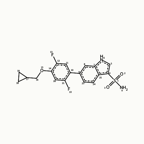 NS(=O)(=O)c1c[nH]c2cc(-c3cc(F)c(OCC4CC4)cc3F)ccc12